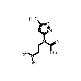 Cc1cc(N(CCN(C)C(C)C)C(=O)C(C)(C)C)no1